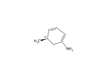 C[C@H]1C=CC=C(N)C1